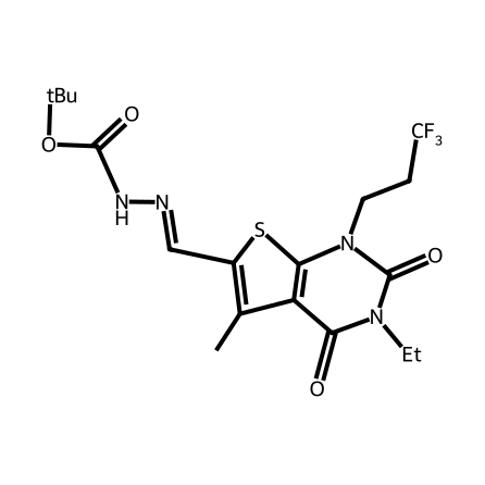 CCn1c(=O)c2c(C)c(/C=N/NC(=O)OC(C)(C)C)sc2n(CCC(F)(F)F)c1=O